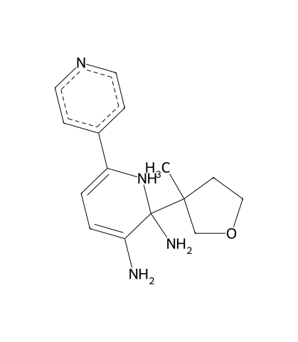 CC1(C2(N)NC(c3ccncc3)=CC=C2N)CCOC1